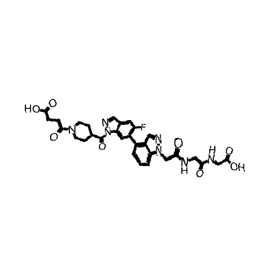 O=C(O)CCC(=O)N1CCC(C(=O)n2ncc3cc(F)c(-c4cccc5c4cnn5CC(=O)NCC(=O)NCC(=O)O)cc32)CC1